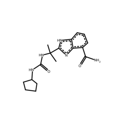 CC(C)(NC(=O)NC1CCCC1)c1nc2c(C(N)=O)cccc2[nH]1